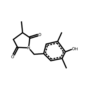 Cc1cc(CN2C(=O)CC(C)C2=O)cc(C)c1O